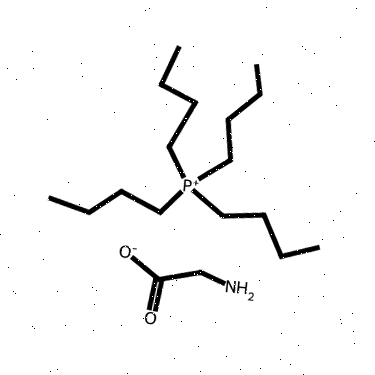 CCCC[P+](CCCC)(CCCC)CCCC.NCC(=O)[O-]